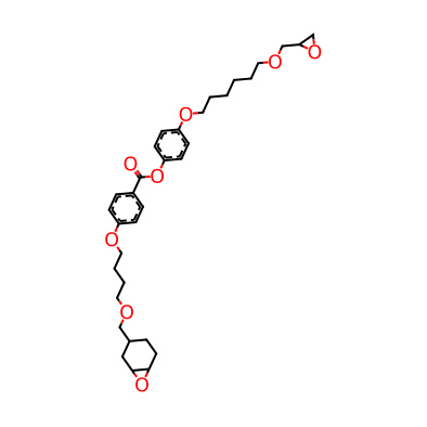 O=C(Oc1ccc(OCCCCCCOCC2CO2)cc1)c1ccc(OCCCCOCC2CCC3OC3C2)cc1